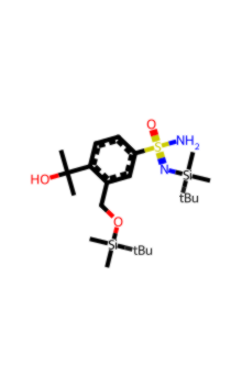 CC(C)(O)c1ccc(S(N)(=O)=N[Si](C)(C)C(C)(C)C)cc1CO[Si](C)(C)C(C)(C)C